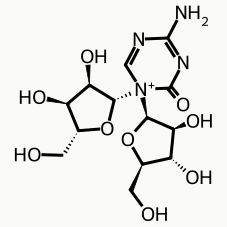 NC1=NC(=O)[N+]([C@@H]2O[C@H](CO)[C@@H](O)[C@H]2O)([C@@H]2O[C@H](CO)[C@@H](O)[C@@H]2O)C=N1